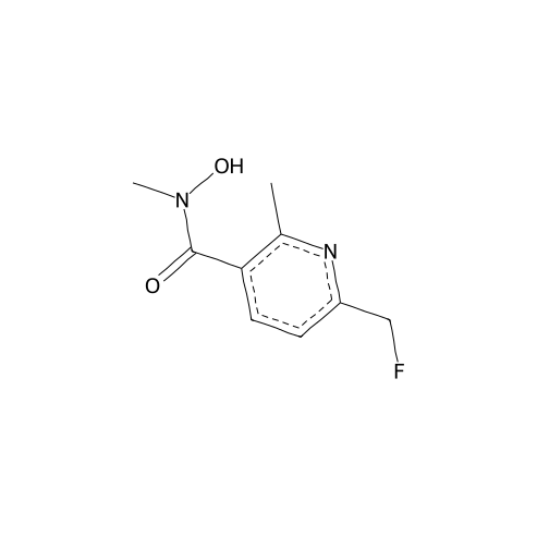 Cc1nc(CF)ccc1C(=O)N(C)O